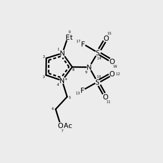 CCn1cc[n+](CCOC(C)=O)c1N(S(=O)(=O)F)S(=O)(=O)F